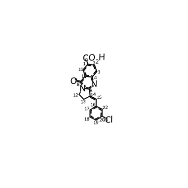 O=C(O)c1ccc2nc3n(c(=O)c2c1)CCC3=Cc1cccc(Cl)c1